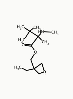 CCC1(COC(=O)C(C)(NC)C(C)(C)C)COC1